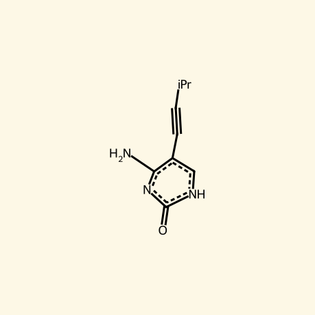 CC(C)C#Cc1c[nH]c(=O)nc1N